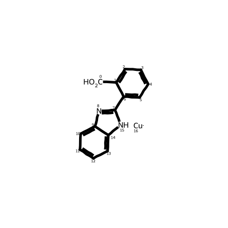 O=C(O)c1ccccc1-c1nc2ccccc2[nH]1.[Cu]